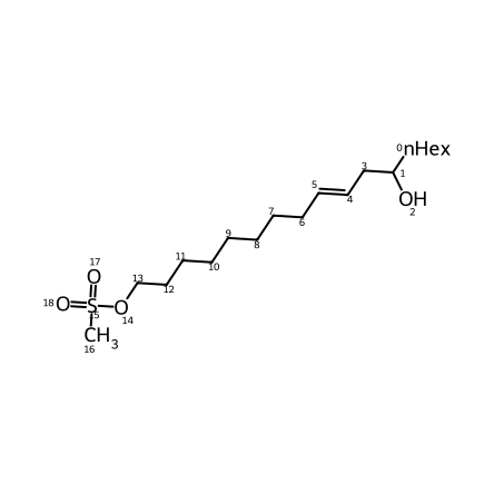 CCCCCCC(O)CC=CCCCCCCCCOS(C)(=O)=O